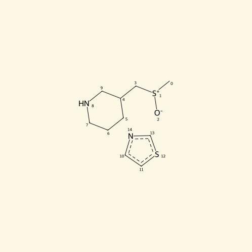 C[S+]([O-])CC1CCCNC1.c1cscn1